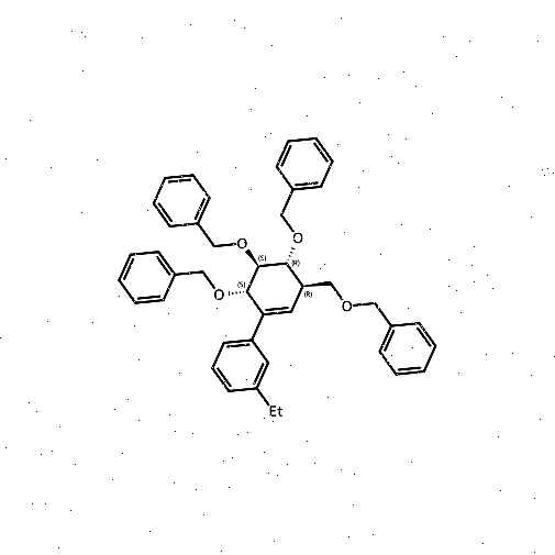 CCc1cccc(C2=C[C@H](COCc3ccccc3)[C@@H](OCc3ccccc3)[C@H](OCc3ccccc3)[C@H]2OCc2ccccc2)c1